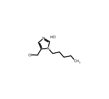 CCCCCn1cncc1CCl.Cl